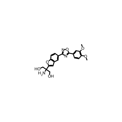 COc1ccc(-c2nc(-c3ccc4oc(C(N)(CO)CO)cc4c3)no2)cc1OC